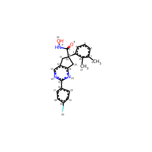 Cc1cccc([C@]2(C(=O)NO)Cc3cnc(-c4ccc(F)cc4)nc3C2)c1C